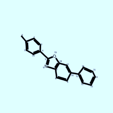 Cc1ccc(-c2nc3ccc(-c4ccccc4)cc3o2)cc1